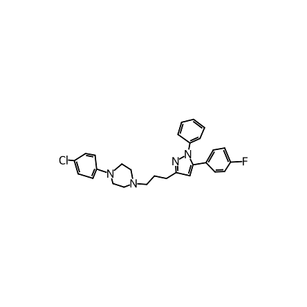 Fc1ccc(-c2cc(CCCN3CCN(c4ccc(Cl)cc4)CC3)nn2-c2ccccc2)cc1